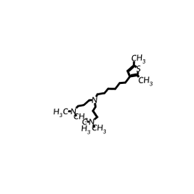 Cc1cc(CCCCCCN(CCCN(C)C)CCCN(C)C)c(C)s1